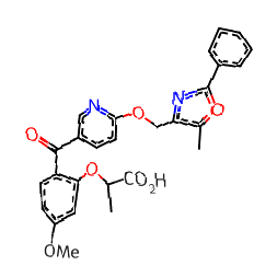 COc1ccc(C(=O)c2ccc(OCc3nc(-c4ccccc4)oc3C)nc2)c(OC(C)C(=O)O)c1